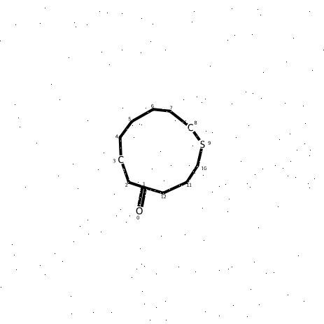 O=C1CCCCCCCSCCC1